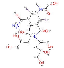 CN(C(=O)CO)c1c(I)c(C(N)=O)c(I)c(C(=O)N(C(CO)CC(O)CO)C(CO)CC(O)CO)c1I